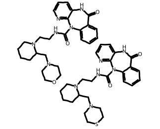 O=C1Nc2cccnc2N(C(=O)NCCN2CCCCC2CN2CCOCC2)c2ccccc21.O=C1Nc2cccnc2N(C(=O)NCCN2CCCCC2CN2CCSCC2)c2ccccc21